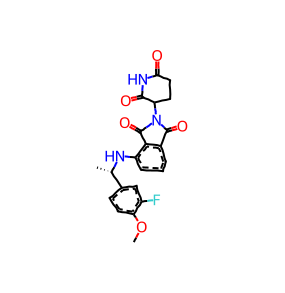 COc1ccc([C@H](C)Nc2cccc3c2C(=O)N(C2CCC(=O)NC2=O)C3=O)cc1F